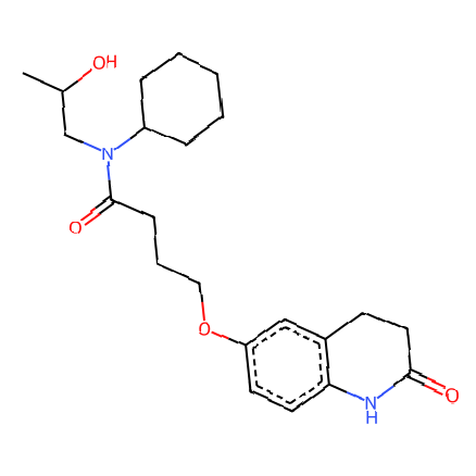 CC(O)CN(C(=O)CCCOc1ccc2c(c1)CCC(=O)N2)C1CCCCC1